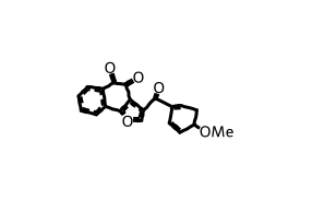 COC1C=CC(C(=O)c2coc3c2C(=O)C(=O)c2ccccc2-3)=CC1